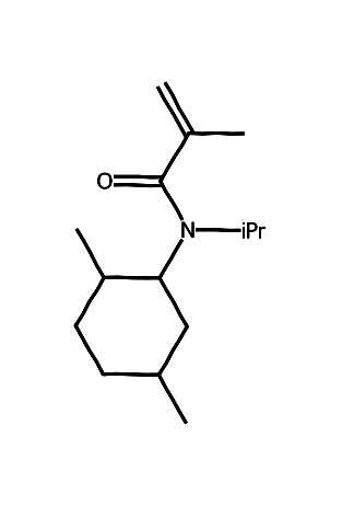 C=C(C)C(=O)N(C(C)C)C1CC(C)CCC1C